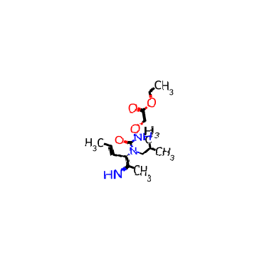 C/C=C/[C@@H](C(C)=N)N(CC(C)C)C(=O)NOCC(=O)OCC